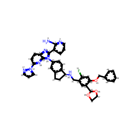 Nc1ncccc1-c1nc2ccc(-n3cccn3)nc2n1-c1ccc2c(c1)CC[C@@H]2NCc1cc(C2OCCO2)c(OCc2ccccc2)cc1F